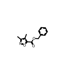 Cc1noc(C(=O)OCc2ccccc2)c1C